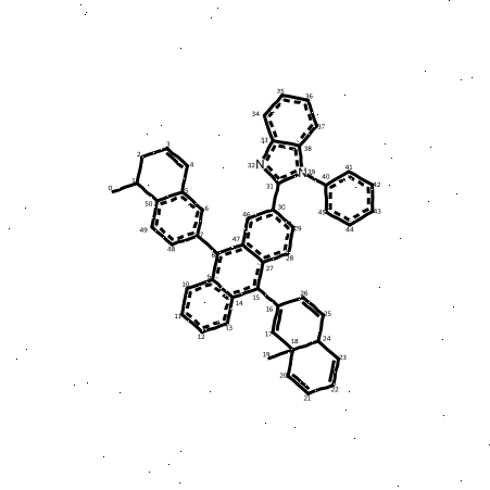 CC1CC=Cc2cc(-c3c4ccccc4c(C4=CC5(C)C=CC=CC5C=C4)c4ccc(-c5nc6ccccc6n5-c5ccccc5)cc34)ccc21